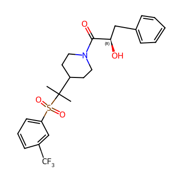 CC(C)(C1CCN(C(=O)[C@H](O)Cc2ccccc2)CC1)S(=O)(=O)c1cccc(C(F)(F)F)c1